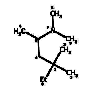 CCC(C)(C)CC(C)N(C)C